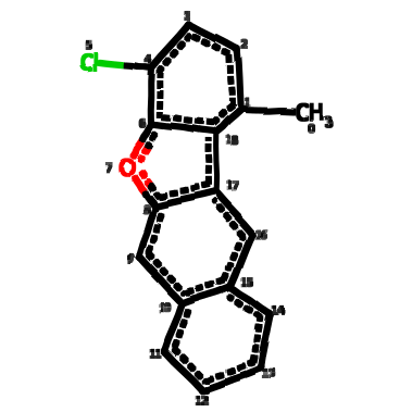 Cc1ccc(Cl)c2oc3cc4ccccc4cc3c12